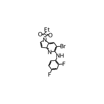 CCS(=O)(=O)n1ccc2nc(Nc3ccc(F)cc3F)c(Br)cc21